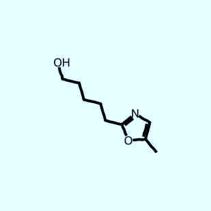 Cc1cnc(CCCCCO)o1